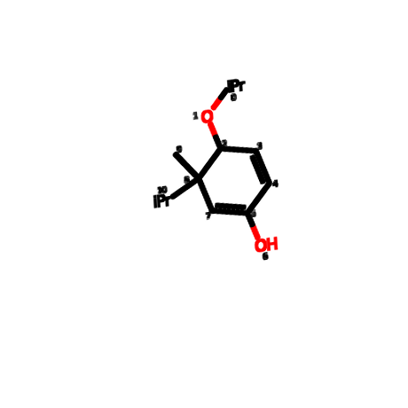 CC(C)OC1C=CC(O)=CC1(C)C(C)C